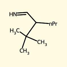 CCCC(C=N)C(C)(C)C